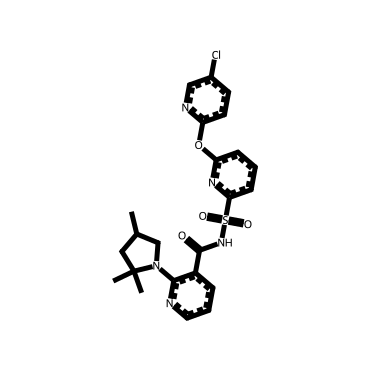 CC1CN(c2ncccc2C(=O)NS(=O)(=O)c2cccc(Oc3ccc(Cl)cn3)n2)C(C)(C)C1